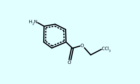 Nc1ccc(C(=O)OCC(Cl)(Cl)Cl)cc1